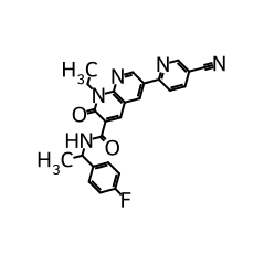 CCn1c(=O)c(C(=O)NC(C)c2ccc(F)cc2)cc2cc(-c3ccc(C#N)cn3)cnc21